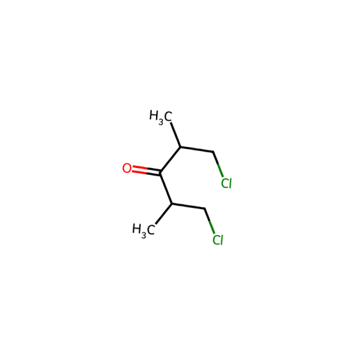 CC(CCl)C(=O)C(C)CCl